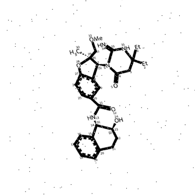 CCC1(CC)CC(=O)N([C@H]2c3cc(C(=O)N[C@H]4c5ccccc5CC[C@@H]4O)ccc3O[C@@]2(C)COC)C(=N)N1